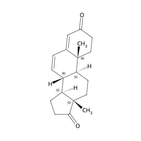 C[C@]12CCC(=O)C=C1C=C[C@@H]1[C@@H]2CC[C@]2(C)C(=O)CC[C@@H]12